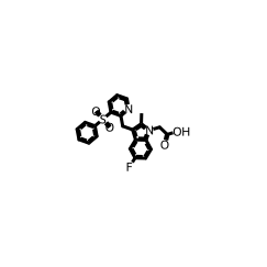 Cc1c(Cc2ncccc2S(=O)(=O)c2ccccc2)c2cc(F)ccc2n1CC(=O)O